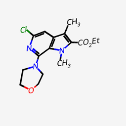 CCOC(=O)c1c(C)c2cc(Cl)nc(N3CCOCC3)c2n1C